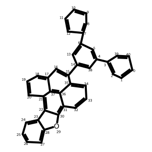 c1ccc(-c2cc(-c3ccccc3)cc(-c3cc4cccc5c6c7ccccc7oc6c6cccc3c6c45)c2)cc1